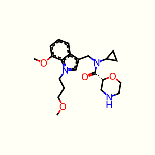 COCCCn1cc(CN(C(=O)[C@H]2CNCCO2)C2CC2)c2cccc(OC)c21